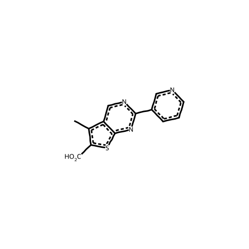 Cc1c(C(=O)O)sc2nc(-c3cccnc3)ncc12